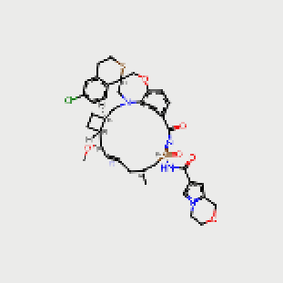 CO[C@H]1/C=C/C[C@H](C)C[S@@](=O)(NC(=O)c2cc3n(c2)CCOC3)=NC(=O)c2ccc3c(c2)N(C[C@@H]2CC[C@H]21)C[C@]1(CO3)SCCc2cc(Cl)ccc21